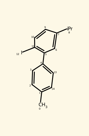 Cc1ccc(-c2cc(C(C)C)ccc2I)cc1